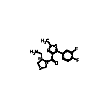 Cc1nc(C(=O)N2CSC[C@H]2CN)c(-c2ccc(F)c(F)c2)s1